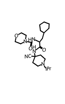 CC(C)N1CCC(C#N)(NC(=O)C(CC2CCCCC2)NC(=O)N2CCOCC2)CC1